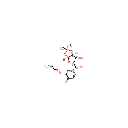 C=CCOCc1cc([C@H](O)[C@@H]2O[C@H]3OC(C)(C)O[C@H]3[C@@H]2O)ccc1Cl